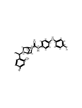 CC(c1ccc(F)cc1Cl)N1CC2CC1CN2C(=O)Nc1ccc(Oc2ccc(F)cc2)cc1